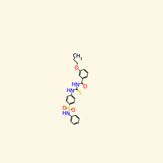 CCCOc1cccc(C(=O)NC(=S)Nc2ccc(S(=O)(=O)Nc3ccccc3)cc2)c1